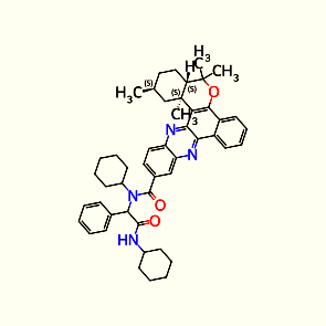 C[C@H]1CC[C@@H]2C(C)(C)Oc3c(c4nc5ccc(C(=O)N(C6CCCCC6)C(C(=O)NC6CCCCC6)c6ccccc6)cc5nc4c4ccccc34)[C@@]2(C)C1